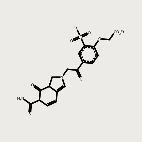 CCOC(=O)COc1ccc(C(=O)CN2C=C3C=CC(C(N)=S)C(=O)C3C2)cc1S(=O)(=O)CC